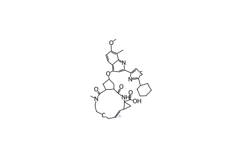 COc1ccc2c(OC3CC4C(=O)NC5(C(=O)O)CC5/C=C/CCCCN(C)C(=O)C4C3)cc(-c3csc(C4CCCCC4)n3)nc2c1C